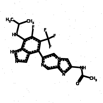 CC(=O)Nc1cn2cc(-c3c(C(F)(F)F)c(F)c(NC(C)C)c4[nH]ncc34)ncc2n1